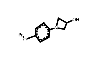 CC(C)Oc1ccc(N2CC(O)C2)cc1